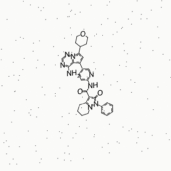 Nc1ncnn2c(C3CCOCC3)cc(-c3ccc(NC(=O)c4c5n(n(-c6ccccc6)c4=O)CCCC5)nc3)c12